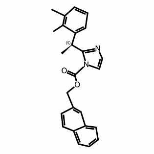 Cc1cccc([C@H](C)c2nccn2C(=O)OCc2ccc3ccccc3c2)c1C